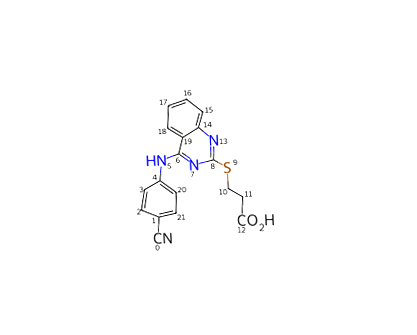 N#Cc1ccc(Nc2nc(SCCC(=O)O)nc3ccccc23)cc1